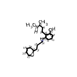 CNC(C)CCc1c(O)cccc1/N=C/CCC1CCCCO1